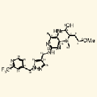 COCCC1C(O)Nc2c(C)nc(NCc3cnn(Cc4ccnc(C(F)(F)F)c4)c3)nc2N1C